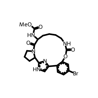 COC(=O)NC1CCCCNC(=O)Oc2cc(Br)ccc2-c2c[nH]c(n2)C2CCCN2C1=O